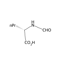 CCC[C@H](NC=O)C(=O)O